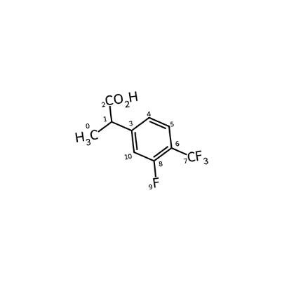 CC(C(=O)O)c1ccc(C(F)(F)F)c(F)c1